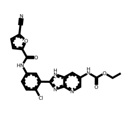 CCOC(=O)Nc1cnc2nc(-c3cc(NC(=O)c4ccc(C#N)o4)ccc3Cl)[nH]c2c1